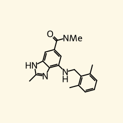 CNC(=O)c1cc(NCc2c(C)cccc2C)c2nc(C)[nH]c2c1